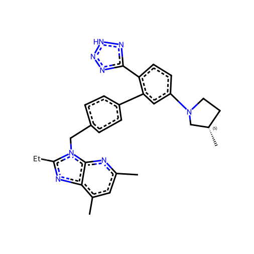 CCc1nc2c(C)cc(C)nc2n1Cc1ccc(-c2cc(N3CC[C@H](C)C3)ccc2-c2nn[nH]n2)cc1